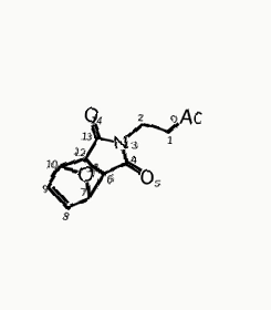 CC(=O)CCN1C(=O)C2C3C=CC(O3)C2C1=O